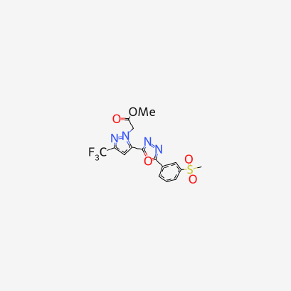 COC(=O)Cn1nc(C(F)(F)F)cc1-c1nnc(-c2cccc(S(C)(=O)=O)c2)o1